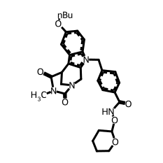 CCCCOc1ccc2c(c1)c1c(n2Cc2ccc(C(=O)NOC3CCCCO3)cc2)CN2CC1C(=O)N(C)C2=O